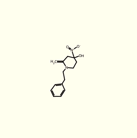 C=C1CC(O)([N+](=O)[O-])CCN1CCc1ccccc1